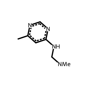 CNCNc1cc(C)ncn1